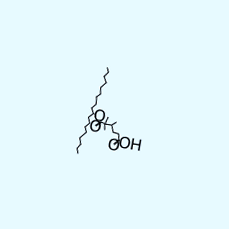 CCCCCCCCCC(CCCCCCCC)OC(=O)C(C)(C)C(C)CCC(=O)O